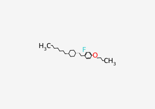 CCCCCCC[C@H]1CC[C@H](CCc2ccc(OCCCC)cc2F)CC1